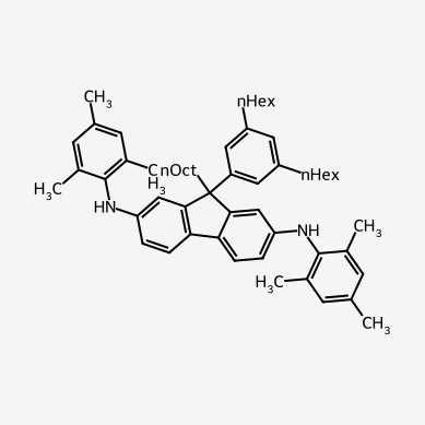 CCCCCCCCC1(c2cc(CCCCCC)cc(CCCCCC)c2)c2cc(Nc3c(C)cc(C)cc3C)ccc2-c2ccc(Nc3c(C)cc(C)cc3C)cc21